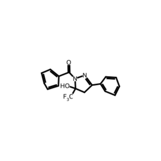 O=C(c1ccccc1)N1N=C(c2ccccc2)CC1(O)C(F)(F)F